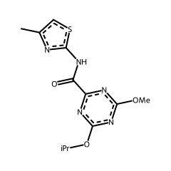 COc1nc(OC(C)C)nc(C(=O)Nc2nc(C)cs2)n1